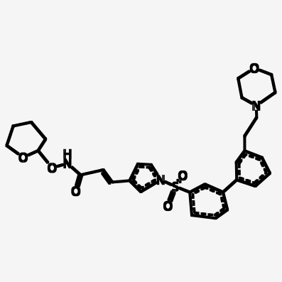 O=C(C=Cc1ccn(S(=O)(=O)c2cccc(-c3cccc(CCN4CCOCC4)c3)c2)c1)NOC1CCCCO1